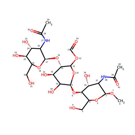 CO[C@H]1OC(CO)[C@@H](O[C@@H]2OC(OC=O)[C@@H](O[C@H]3OC(CO)[C@@H](O)[C@H](O)C3NC(C)=O)[C@H](O)C2O)[C@H](O)C1NC(C)=O